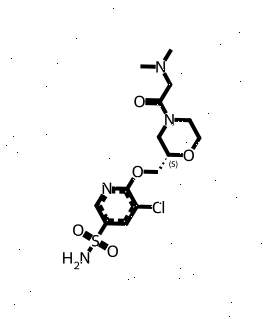 CN(C)CC(=O)N1CCO[C@H](COc2ncc(S(N)(=O)=O)cc2Cl)C1